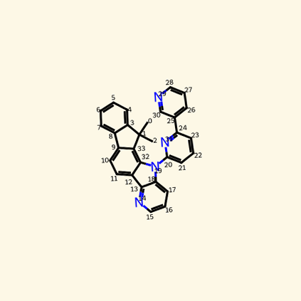 CC1(C)c2ccccc2-c2ccc3c4ncccc4n(-c4cccc(-c5cccnc5)n4)c3c21